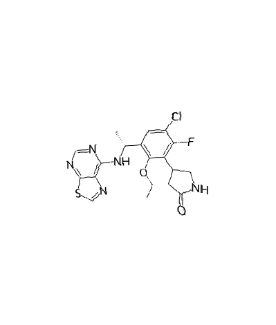 CCOc1c([C@@H](C)Nc2ncnc3scnc23)cc(Cl)c(F)c1C1CNC(=O)C1